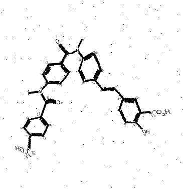 CN(C(=O)c1ccc(N(C)C(=O)c2ccc(C(=O)O)cc2)cc1)c1ccc(/C=C/c2ccc(O)c(C(=O)O)c2)cc1